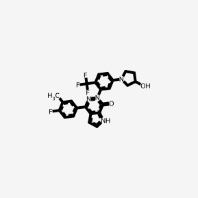 Cc1cc(-c2nn(-c3cc(N4CCC(O)C4)ccc3C(F)(F)F)c(=O)c3[nH]ccc23)ccc1F